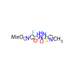 CO[C@H]1CCN(c2cc(F)c3c(c2)OC[C@H](NC(=O)c2sc4nc(C)ccc4c2N)C3)C1